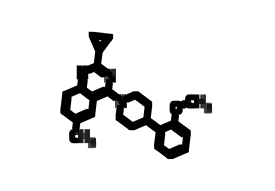 COc1ccccc1C1CCN(c2nc(C3CC3)nc3ccc(C)cc23)CC1